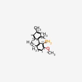 COc1ccc(C)c(-c2c(C)cc(C)cc2C)c1P